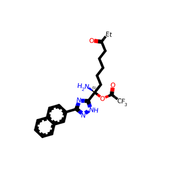 CCC(=O)CCCCC[C@](N)(OC(=O)C(F)(F)F)c1nc(-c2ccc3ccccc3c2)n[nH]1